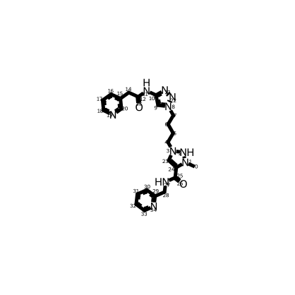 CN1NN(CCCCn2cc(NC(=O)Cc3cccnc3)nn2)C=C1C(=O)NCc1ccccn1